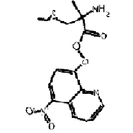 CSCC(C)(N)C(=O)OOc1ccc([N+](=O)[O-])c2cccnc12